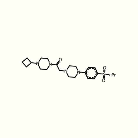 CCCS(=O)(=O)c1ccc(N2CCN(CC(=O)N3CCN(C4CCC4)CC3)CC2)cc1